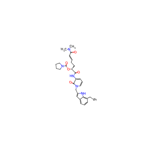 CC(C)Cc1cccc2cc(Cn3cccc(NC(=O)[C@H](CC/C=C/C(=O)N(C)C)OC(=O)N4CCCC4)c3=O)[nH]c12